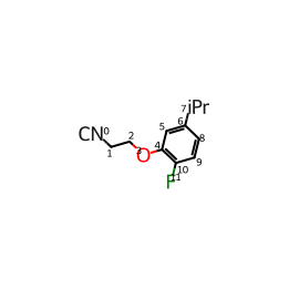 [C-]#[N+]CCOc1cc(C(C)C)ccc1F